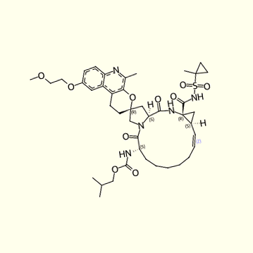 COCCOc1ccc2nc(C)c3c(c2c1)CC[C@]1(C[C@H]2C(=O)N[C@]4(C(=O)NS(=O)(=O)C5(C)CC5)C[C@H]4/C=C\CCCCC[C@H](NC(=O)OCC(C)C)C(=O)N2C1)O3